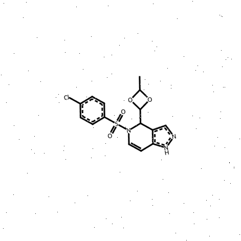 CC1OC(C2c3cn[nH]c3C=CN2S(=O)(=O)c2ccc(Cl)cc2)O1